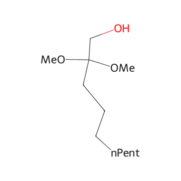 CCCCCCCCC(CO)(OC)OC